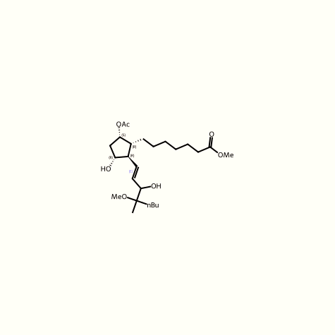 CCCCC(C)(OC)C(O)/C=C/[C@@H]1[C@@H](CCCCCCC(=O)OC)[C@@H](OC(C)=O)C[C@H]1O